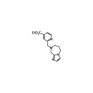 CCOC(=O)c1ccnc(CN2CCCn3ccnc3C2)c1